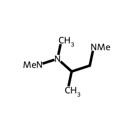 CNCC(C)N(C)NC